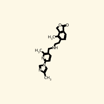 Cc1cn(-c2ccc(CNCCc3ccc4c(c3C)COC4=O)c(C)n2)cn1